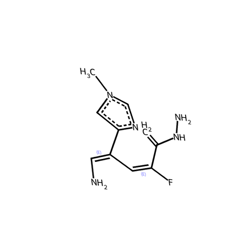 C=C(NN)/C(F)=C\C(=C/N)c1cn(C)cn1